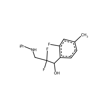 Cc1ccc(C(O)C(F)(F)CNC(C)C)c(F)c1